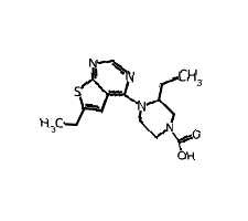 CCc1cc2c(N3CCN(C(=O)O)CC3CC)ncnc2s1